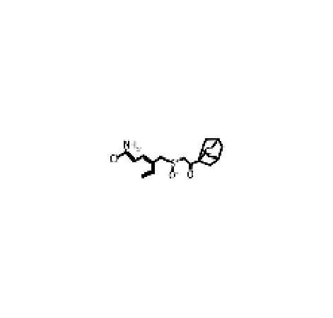 C=C/C(=C\C=C(/N)Cl)C[S+]([O-])CC(=O)C12CC3CC(CC1C3)C2